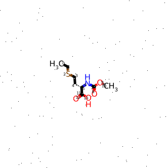 CCSCC[C@H](NC(=O)OC)C(=O)O